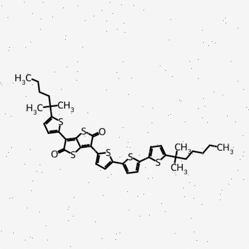 CCCCCC(C)(C)c1ccc(-c2ccc(-c3ccc(C4=C5SC(=O)C(c6ccc(C(C)(C)CCCC)s6)=C5SC4=O)s3)s2)s1